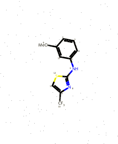 COc1cccc(Nc2nc(C(F)(F)F)cs2)c1